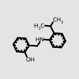 CC(C)c1ccccc1NCc1ccccc1O